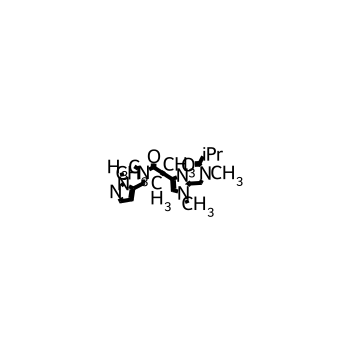 CC(C)C(=O)N(C)Cc1nc(C(C)(C)C(=O)N(C)Cc2ccnn2C)cn1C